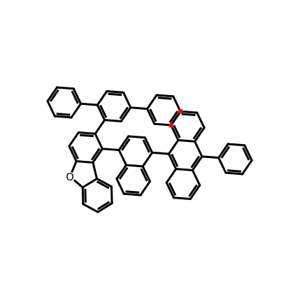 c1ccc(-c2ccc(-c3ccccc3)c(-c3ccc4oc5ccccc5c4c3-c3ccc(-c4c5ccccc5c(-c5ccccc5)c5ccccc45)c4ccccc34)c2)cc1